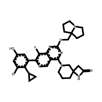 O=C1CC2(CCCN(c3nc(OCC45CCCN4CCC5)nc4c(F)c(-c5cc(O)cc(Cl)c5C5CC5)ncc34)C2)N1